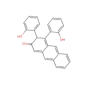 O=C1C=c2cc3ccccc3cc2=C(c2ccccc2O)C1c1ccccc1O